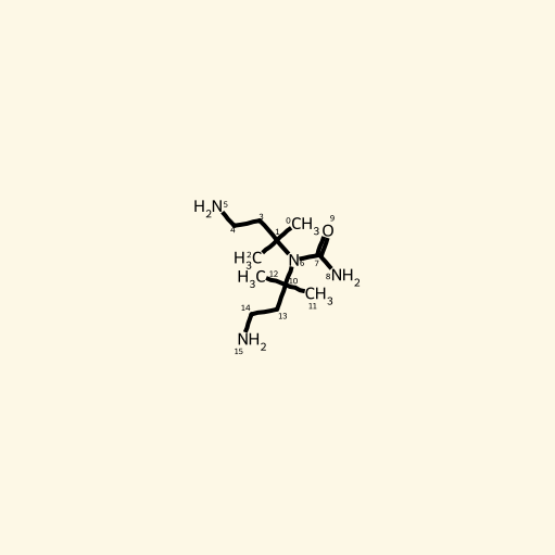 CC(C)(CCN)N(C(N)=O)C(C)(C)CCN